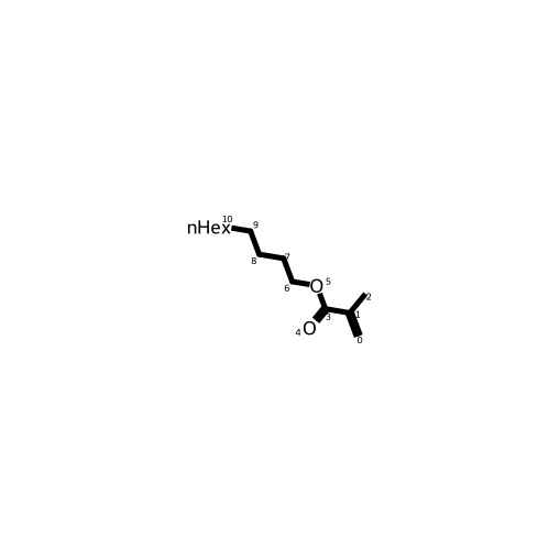 C=C(C)C(=O)OC[CH]CCCCCCCC